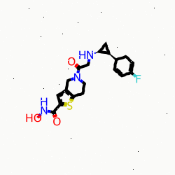 O=C(NO)c1cc2c(s1)CCN(C(=O)CN[C@@H]1C[C@H]1C1C=CC(F)=CC1)C2